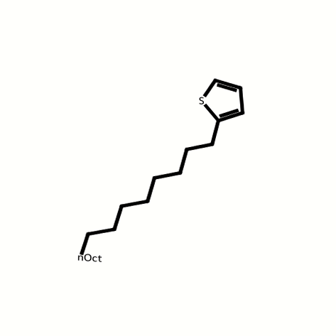 [CH2]CCCCCCCCCCCCCCCc1cccs1